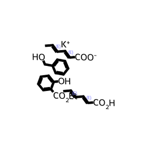 C/C=C/C=C/C(=O)O.C/C=C/C=C/C(=O)[O-].CCOC(=O)c1ccccc1O.OCc1ccccc1.[K+]